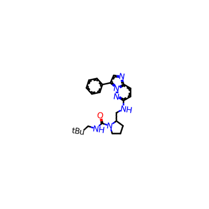 CC(C)(C)CNC(=O)N1CCCC1CNc1ccc2ncc(-c3ccccc3)n2n1